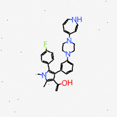 C=C(O)c1c(-c2cccc(N3CCN(C4=CC=CNC=C4)CC3)c2)c(-c2ccc(F)cc2)n(C)c1C